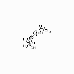 Cc1cc(C)cc(Nc2nccc(-c3cc(C(=O)N[C@@H](C)CO)n(C)n3)n2)c1